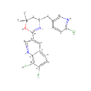 CC1(C)CC(Cc2ccc(Cl)nc2)N=C(c2cnc3c(F)c(F)ccc3c2)O1